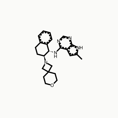 Cc1cc2c(N[C@H]3c4ccccc4CC[C@@H]3N3CC4(CCOCC4)C3)ncnc2[nH]1